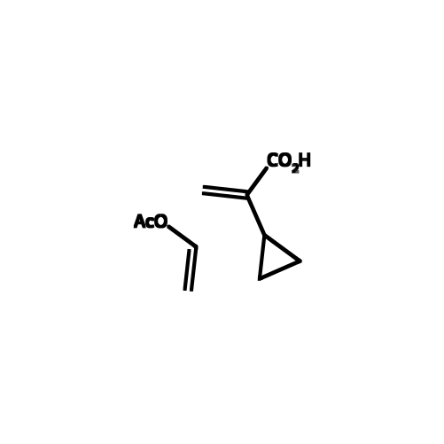 C=C(C(=O)O)C1CC1.C=COC(C)=O